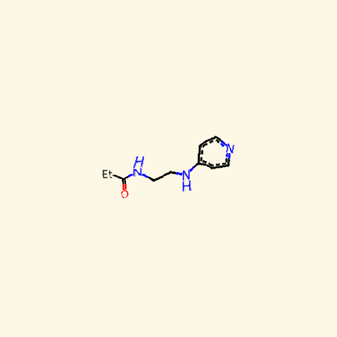 [CH2]CC(=O)NCCNc1ccncc1